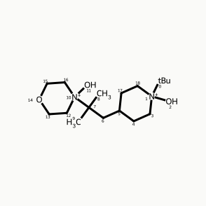 CC(C)(C)[N+]1(O)CCC(CC(C)(C)[N+]2(O)CCOCC2)CC1